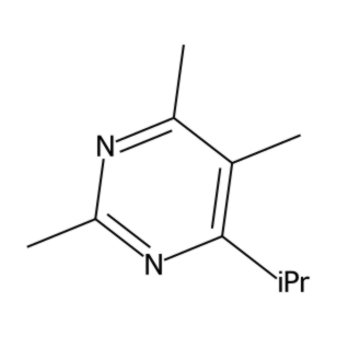 Cc1nc(C)c(C)c(C(C)C)n1